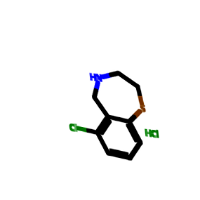 Cl.Clc1cccc2c1CNCCS2